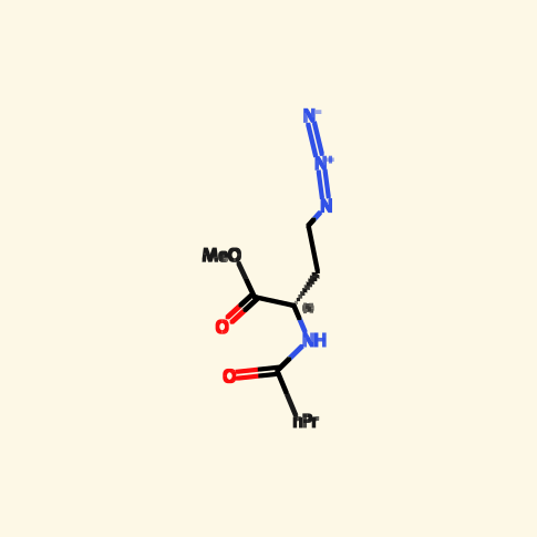 CCCC(=O)N[C@@H](CCN=[N+]=[N-])C(=O)OC